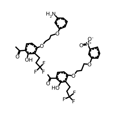 CC(=O)c1ccc(OCCCOc2cccc(N)c2)c(CCC(F)(F)F)c1O.CC(=O)c1ccc(OCCCOc2cccc([N+](=O)[O-])c2)c(CCC(F)(F)F)c1O